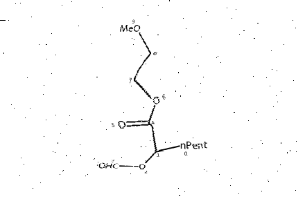 CCCCCC(O[C]=O)C(=O)OCCOC